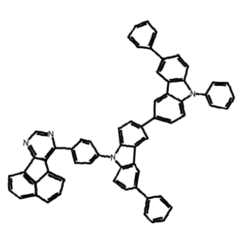 c1ccc(-c2ccc3c(c2)c2cc(-c4ccc5c(c4)c4cc(-c6ccccc6)ccc4n5-c4ccc(-c5ncnc6c5-c5cccc7cccc-6c57)cc4)ccc2n3-c2ccccc2)cc1